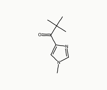 Cn1cnc(C(=O)C(C)(C)C)c1